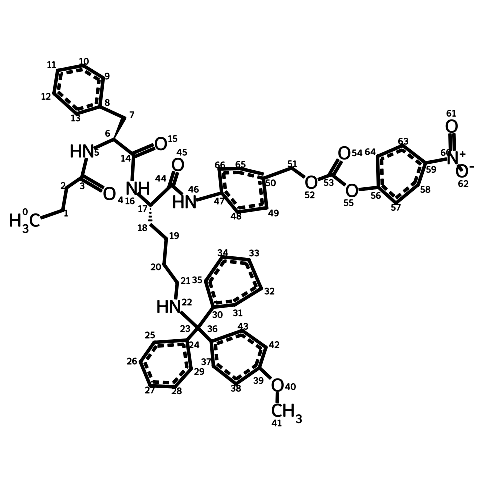 CCCC(=O)N[C@@H](Cc1ccccc1)C(=O)N[C@@H](CCCCNC(c1ccccc1)(c1ccccc1)c1ccc(OC)cc1)C(=O)Nc1ccc(COC(=O)Oc2ccc([N+](=O)[O-])cc2)cc1